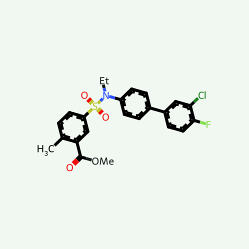 CCN(c1ccc(-c2ccc(F)c(Cl)c2)cc1)S(=O)(=O)c1ccc(C)c(C(=O)OC)c1